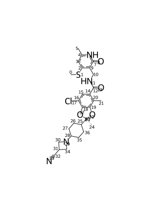 CSc1cc(C)[nH]c(=O)c1CNC(=O)c1cc(Cl)c2c(c1C)O[C@@](C)(C1CCC(N3CC(C#N)C3)CC1)O2